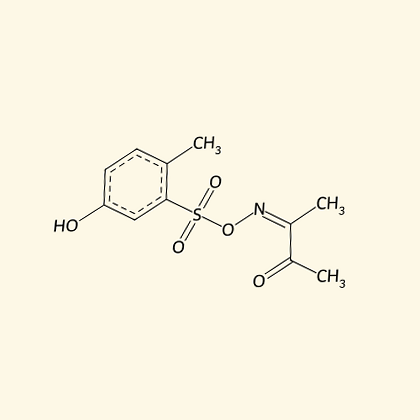 CC(=O)C(C)=NOS(=O)(=O)c1cc(O)ccc1C